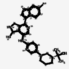 CC(C)(O)[C@@H]1CCCN(c2ccc(Nc3cnc(-c4cnc5cc(F)ccn45)c4c3C(O)NC4)nc2)C1